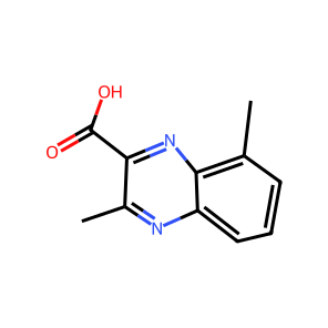 Cc1nc2cccc(C)c2nc1C(=O)O